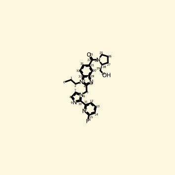 CCCn1c(Cn2ccnc2-c2cccc(F)n2)nc2cc(C(=O)N3CCC[C@H]3CO)ccc21